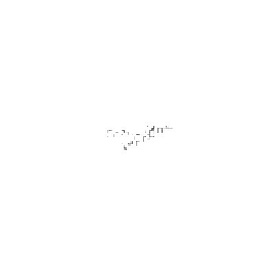 [Co+2].[Cr+3].[Mo+4].[V+5]